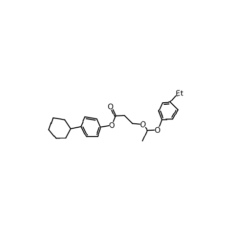 CCc1ccc(OC(C)OCCC(=O)Oc2ccc(C3CCCCC3)cc2)cc1